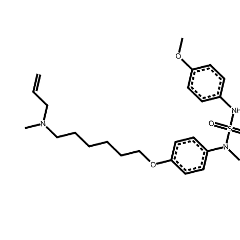 C=CCN(C)CCCCCCOc1ccc(N(C)S(=O)(=O)Nc2ccc(OC)cc2)cc1